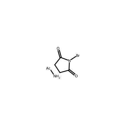 CC(N)=O.O=C1CCC(=O)N1Br